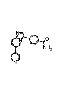 NC(=O)c1ccc(-c2cnc3ccc(-c4ccncc4)cn23)cc1